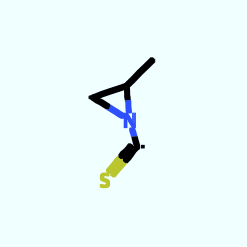 CC1CN1[C]=S